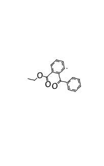 CCOC(=O)c1ccc[c]c1C(=O)c1ccccc1